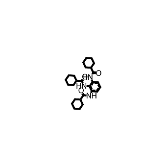 O=C(Nc1cccc(NC(=O)C2CCCCC2)c1NC(=O)C1CCCCC1)C1CCCCC1